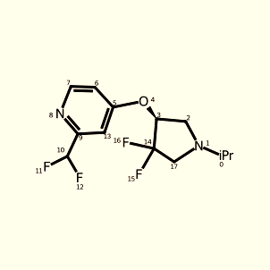 CC(C)N1C[C@H](Oc2ccnc(C(F)F)c2)C(F)(F)C1